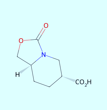 O=C(O)[C@@H]1CC[C@H]2COC(=O)N2C1